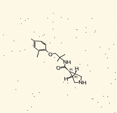 Cc1ccc(OCC(C)(C)NC(=O)[C@H]2[C@@H]3CNC[C@@H]32)c(C)c1